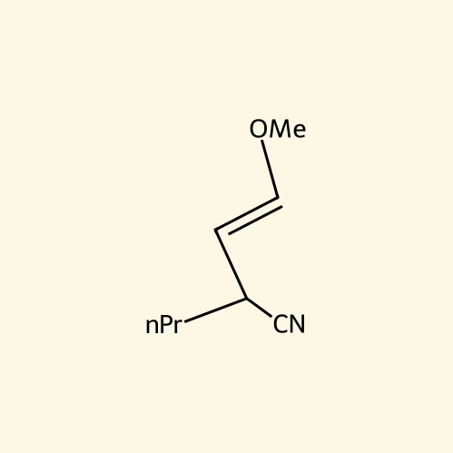 CCCC(C#N)C=COC